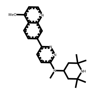 COc1ccnc2cc(-c3ccc(N(C)C4CC(C)(C)NC(C)(C)C4)nn3)ccc12